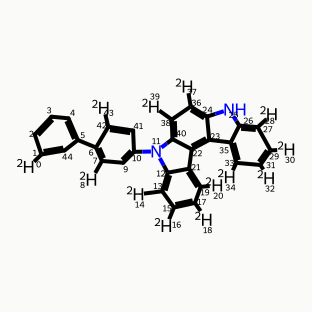 [2H]c1cccc(-c2c([2H])cc(-n3c4c([2H])c([2H])c([2H])c([2H])c4c4c5c([nH]c6c([2H])c([2H])c([2H])c([2H])c65)c([2H])c([2H])c43)cc2[2H])c1